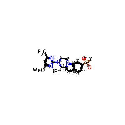 COc1[c]c(C(F)(F)F)nc(N2CCn3c(cc4ccc(S(C)(=O)=O)cc43)[C@@H]2C(C)C)n1